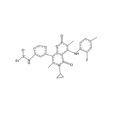 CC[S+]([O-])Nc1cccc(-c2c(C)n(C3CC3)c(=O)c3c(Nc4ccc(C)cc4F)c(C)c(=O)oc23)c1